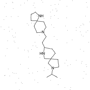 CC(C)N1CCC2(CCC(CCN3CCC4(CCCN4)CC3)NC2)C1